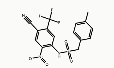 Cc1ccc(CS(=O)(=O)Nc2cc(C(F)(F)F)c(C#N)cc2[N+](=O)[O-])cc1